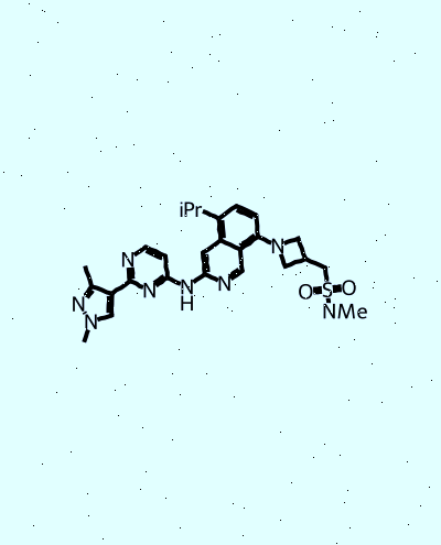 CNS(=O)(=O)CC1CN(c2ccc(C(C)C)c3cc(Nc4ccnc(-c5cn(C)nc5C)n4)ncc23)C1